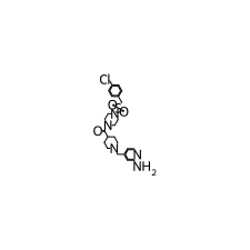 Nc1cc(CN2CCC(C(=O)N3CCN(S(=O)(=O)Cc4ccc(Cl)cc4)CC3)CC2)ccn1